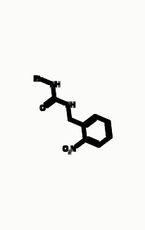 CCNC(=O)NCc1ccccc1[N+](=O)[O-]